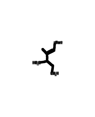 CCCCC/C=C(\C)C(CC(=O)O)C(=O)O